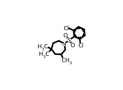 CC1CN(S(=O)(=O)c2c(Cl)cccc2Cl)CCC(C)(C)C1